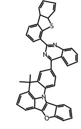 CC1(C)c2cc(-c3nc(-c4cccc5c4SC4C=CC=CC54)nc4ccccc34)ccc2-n2c3c1cccc3c1oc3ccccc3c12